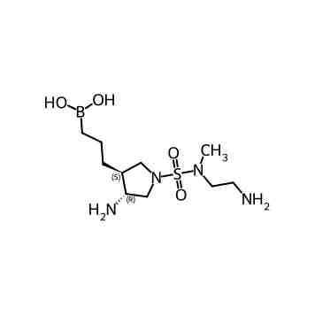 CN(CCN)S(=O)(=O)N1C[C@H](CCCB(O)O)[C@@H](N)C1